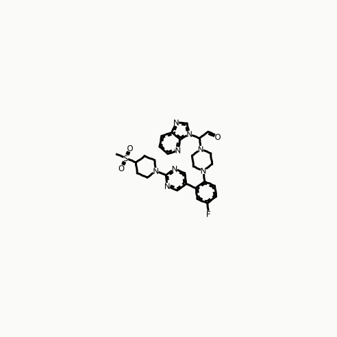 CS(=O)(=O)C1CCN(c2ncc(-c3cc(F)ccc3N3CCN(C(C=O)n4cnc5cccnc54)CC3)cn2)CC1